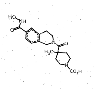 CC1(C(=O)N2CCc3cc(C(=O)NO)ccc3C2)CCN(C(=O)O)CC1